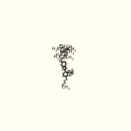 CCCCCc1ccc(-c2cc3ccc(OC(C)CC(C)(C)OC(=O)C(CC(C)(C)C)C(C)(C)C)cc3s2)c(OC(F)(F)F)c1